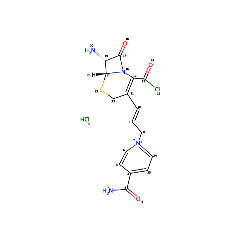 Cl.NC(=O)c1cc[n+](C/C=C/C2=C(C(=O)Cl)N3C(=O)[C@@H](N)[C@H]3SC2)cc1